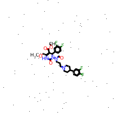 COCC1=C(C(=O)OC)C(c2ccc(F)c(F)c2)N(N(C=O)CCCN2CCC(c3ccc(F)c(F)c3)CC2)C(=O)N1